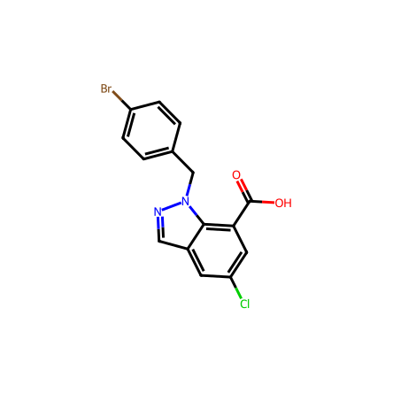 O=C(O)c1cc(Cl)cc2cnn(Cc3ccc(Br)cc3)c12